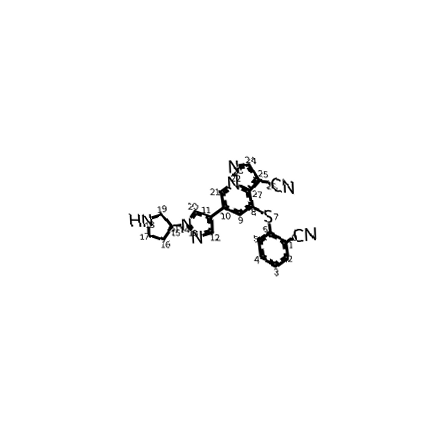 N#Cc1ccccc1Sc1cc(-c2cnn([C@H]3CCNC3)c2)cn2ncc(C#N)c12